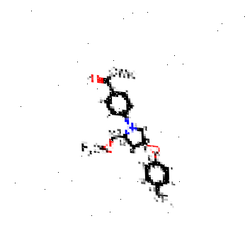 COC(=O)c1ccc(N2C[C@@H](Oc3ccc(C(F)(F)F)cc3)C[C@H]2COC(F)(F)F)cc1